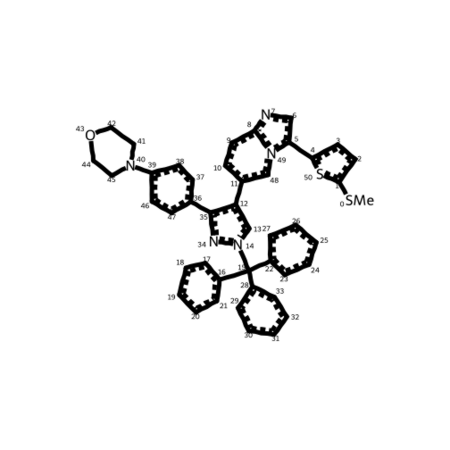 CSc1ccc(-c2cnc3ccc(-c4cn(C(c5ccccc5)(c5ccccc5)c5ccccc5)nc4-c4ccc(N5CCOCC5)cc4)cn23)s1